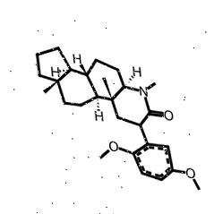 COc1ccc(OC)c(C2C[C@]3(C)[C@H]4CC[C@]5(C)CCC[C@H]5[C@@H]4CC[C@H]3N(C)C2=O)c1